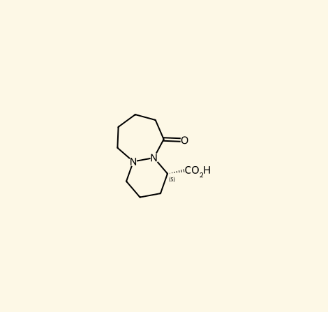 O=C(O)[C@@H]1CCCN2CCCCC(=O)N12